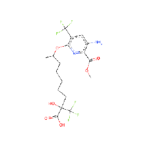 COC(=O)c1nc(OC(C)CCCCCC(O)(C(=O)O)C(F)(F)F)c(C(F)(F)F)cc1N